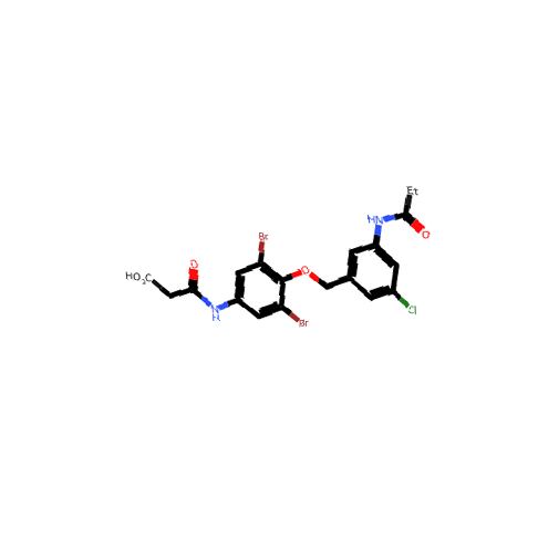 CCC(=O)Nc1cc(Cl)cc(COc2c(Br)cc(NC(=O)CC(=O)O)cc2Br)c1